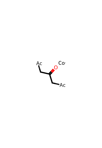 CC(=O)CC(=O)CC(C)=O.[Co]